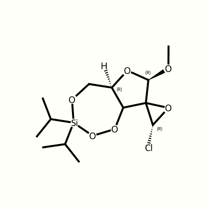 CO[C@@H]1O[C@@H]2CO[Si](C(C)C)(C(C)C)OOC2C12O[C@@H]2Cl